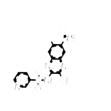 O=[N+]([O-])c1cc2nc(Cl)c(NS(=O)(=O)c3cccnc3)nc2cc1F